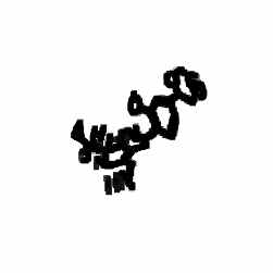 CNCc1cnc(NC(=O)C2CC2)c2[nH]c(-c3ccc(C4COCCO4)cc3OC)cc12